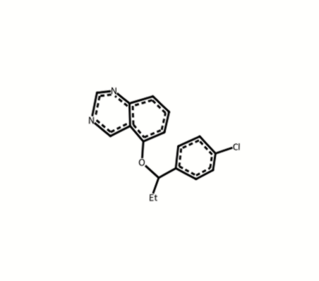 CCC(Oc1cccc2ncncc12)c1ccc(Cl)cc1